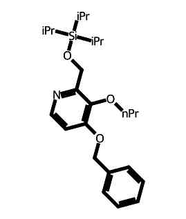 CCCOc1c(OCc2ccccc2)ccnc1CO[Si](C(C)C)(C(C)C)C(C)C